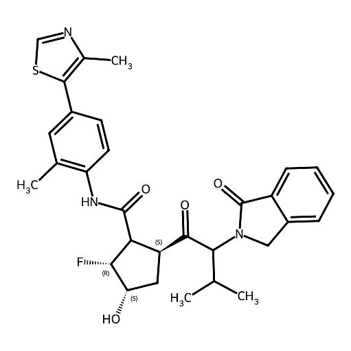 Cc1cc(-c2scnc2C)ccc1NC(=O)C1[C@@H](C(=O)C(C(C)C)N2Cc3ccccc3C2=O)C[C@H](O)[C@@H]1F